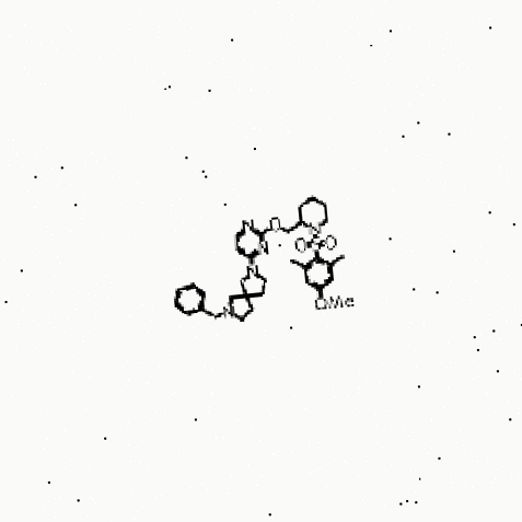 COc1cc(C)c(S(=O)(=O)N2CCCCC2COc2nccc(N3CCC4(CCN(Cc5ccccc5)C4)C3)n2)c(C)c1